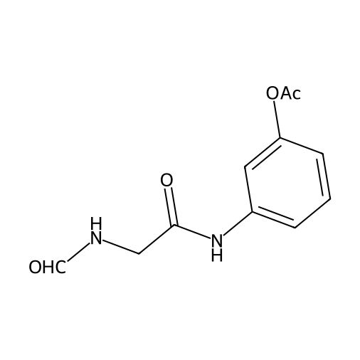 CC(=O)Oc1cccc(NC(=O)CNC=O)c1